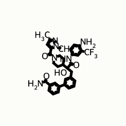 Cc1cc(C(=O)N2CCC(C(O)(Cc3cccc(-c4cccc(C(N)=O)c4)c3)C(=O)Nc3ccc(N)c(C(F)(F)F)c3)CC2)n(C)n1